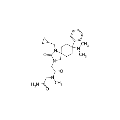 CN(CC(N)=O)C(=O)CN1CC2(CCC(c3ccccc3)(N(C)C)CC2)N(CC2CC2)C1=O